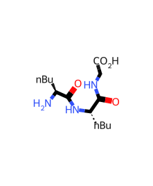 CCCC[C@H](NC(=O)[C@@H](N)CCCC)C(=O)NCC(=O)O